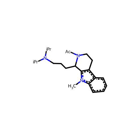 CC(=O)N1CCc2c(n(C)c3ccccc23)C1CCCN(C(C)C)C(C)C